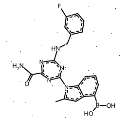 Cc1cc2c(B(O)O)cccc2n1-c1nc(NCc2cccc(F)c2)nc(C(N)=O)n1